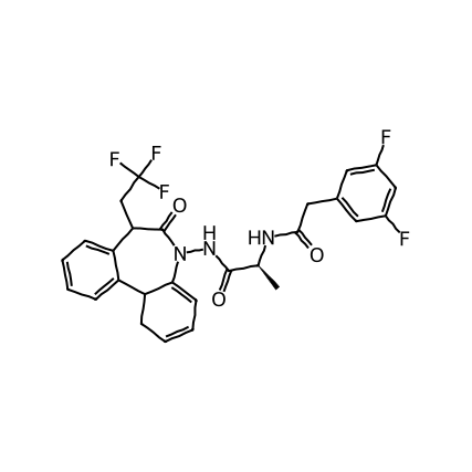 C[C@H](NC(=O)Cc1cc(F)cc(F)c1)C(=O)NN1C(=O)C(CC(F)(F)F)c2ccccc2C2CC=CC=C21